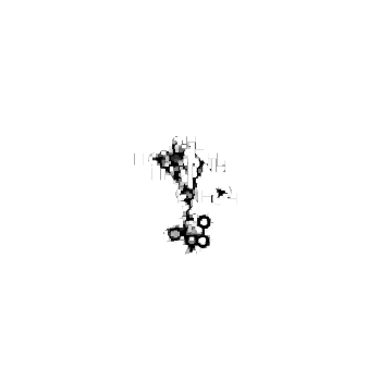 CC(=O)O.N=C(N)NCCCC(NC(=O)CCC(=O)OC[N+]1(c2cc(=O)c3cccc(-c4ccccc4)c3o2)CCOCC1)C(=O)NCC(=O)NC(CC(=O)O)C(=O)NC(CO)C(=O)O